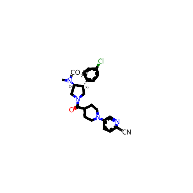 CN(C(=O)O)[C@@H]1CN(C(=O)C2CCN(c3ccc(C#N)nc3)CC2)C[C@H]1c1ccc(Cl)cc1